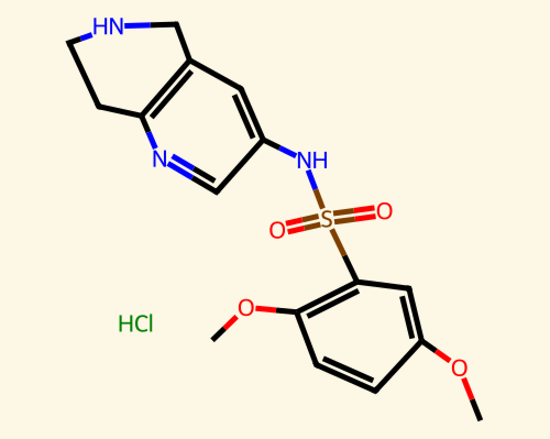 COc1ccc(OC)c(S(=O)(=O)Nc2cnc3c(c2)CNCC3)c1.Cl